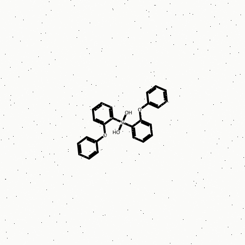 O[Si](O)(c1ccccc1Oc1ccccc1)c1ccccc1Oc1ccccc1